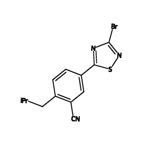 CC(C)Cc1ccc(-c2nc(Br)ns2)cc1C#N